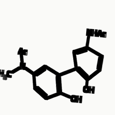 CC(=O)Nc1ccc(O)c(-c2cc(N(C)C(C)=O)ccc2O)c1